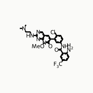 COn1c(=O)c(-c2cc(NC(=O)c3cc(C(F)(F)F)ccc3N)ccc2Cl)cc2cnc(NCCN(C)C)nc21